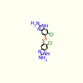 Nc1nc2cc(SSc3cc4nc(N)[nH]c4cc3Cl)c(Cl)cc2[nH]1